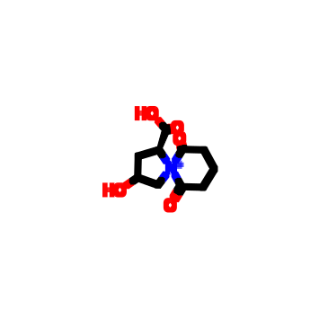 O=C(O)[C@@H]1CC(O)C[N+]12C(=O)CCCC2=O